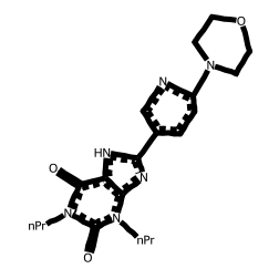 CCCn1c(=O)c2[nH]c(-c3ccc(N4CCOCC4)nc3)nc2n(CCC)c1=O